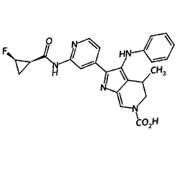 CC1CN(C(=O)O)C=C2N=C(c3ccnc(NC(=O)[C@H]4C[C@H]4F)c3)C(Nc3ccccc3)=C21